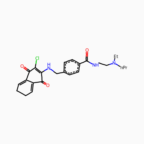 CCCN(CC)CCNC(=O)c1ccc(CNC2=C(Cl)C(=O)C3=CCCC=C3C2=O)cc1